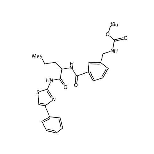 CSCCC(NC(=O)c1cccc(CNC(=O)OC(C)(C)C)c1)C(=O)Nc1nc(-c2ccccc2)cs1